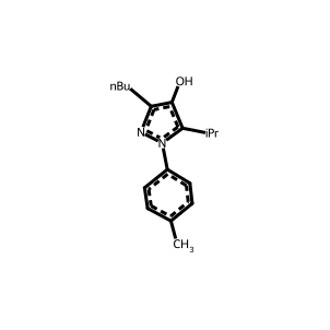 CCCCc1nn(-c2ccc(C)cc2)c(C(C)C)c1O